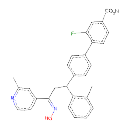 Cc1cc(/C(CC(c2ccc(-c3ccc(C(=O)O)cc3F)cc2)c2ccccc2C)=N\O)ccn1